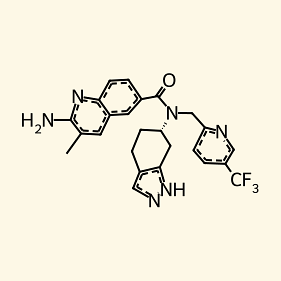 Cc1cc2cc(C(=O)N(Cc3ccc(C(F)(F)F)cn3)[C@H]3CCc4cn[nH]c4C3)ccc2nc1N